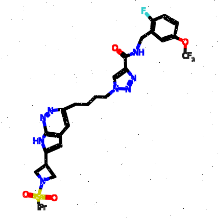 CC(C)S(=O)(=O)N1CC(c2cc3cc(CCCCn4cc(C(=O)NCc5cc(OC(F)(F)F)ccc5F)nn4)nnc3[nH]2)C1